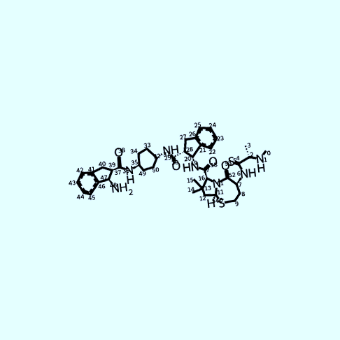 CN[C@@H](C)C(=S)N[C@H]1CCS[C@H]2CC(C)(C)[C@@H](C(=O)N[C@H]3c4ccccc4C[C@H]3C(=O)N[C@H]3CC[C@H](NC(=O)[C@@H]4Cc5ccccc5[C@@H]4N)CC3)N2C1=O